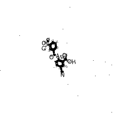 N#Cc1ccc([AsH]C(=O)c2cccc(S(=O)(=O)Cl)c2)c(C(=O)O)c1